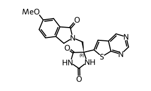 COc1ccc2c(c1)C(=O)N(C[C@@]1(c3cc4cncnc4s3)NC(=O)NC1=O)C2